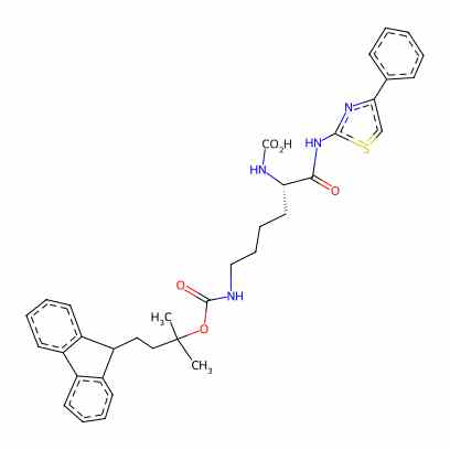 CC(C)(CCC1c2ccccc2-c2ccccc21)OC(=O)NCCCC[C@H](NC(=O)O)C(=O)Nc1nc(-c2ccccc2)cs1